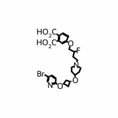 O=C(O)c1ccc(OCC(F)CCN2CCC(O[C@H]3C[C@H](Oc4ccc(Br)cn4)C3)CC2)cc1C(=O)O